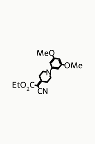 CCOC(=O)C(C#N)=C1CCN(c2cc(OC)cc(OC)c2)CC1